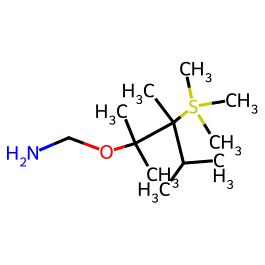 CC(C)C(C)(C(C)(C)OCN)S(C)(C)C